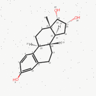 C[C@]12CC[C@@H]3c4ccc(O)cc4CC[C@H]3[C@@H]1C[C@@H](O)[C@H]2O